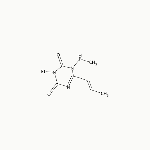 CC=Cc1nc(=O)n(CC)c(=O)n1PC